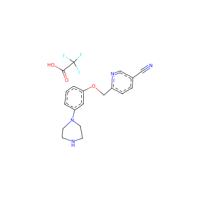 N#Cc1ccc(COc2cccc(N3CCNCC3)c2)nc1.O=C(O)C(F)(F)F